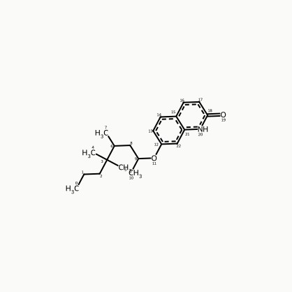 CCCC(C)(C)C(C)CC(C)Oc1ccc2ccc(=O)[nH]c2c1